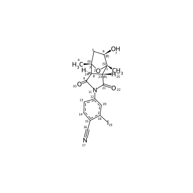 C[C@@]12O[C@@](C)(C[C@H]1O)[C@@H]1C(=O)N(c3ccc(C#N)c(I)c3)C(=O)[C@H]12